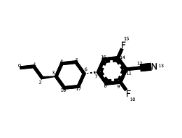 CCC[C@H]1CC[C@H](c2cc(F)c(C#N)c(F)c2)CC1